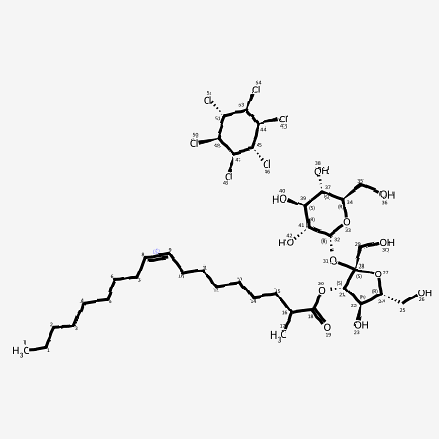 CCCCCCCC/C=C\CCCCCCC(C)C(=O)O[C@H]1[C@H](O)[C@@H](CO)O[C@@]1(CO)O[C@H]1O[C@H](CO)[C@@H](O)[C@H](O)[C@H]1O.Cl[C@H]1[C@H](Cl)[C@@H](Cl)[C@@H](Cl)[C@H](Cl)[C@H]1Cl